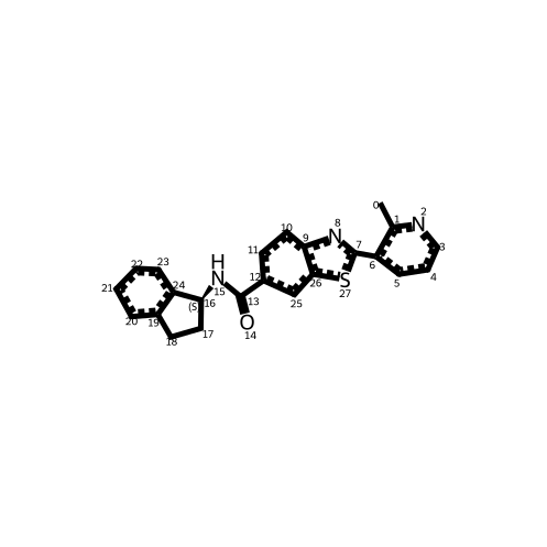 Cc1ncccc1-c1nc2ccc(C(=O)N[C@H]3CCc4ccccc43)cc2s1